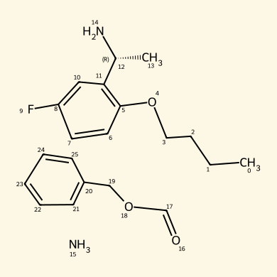 CCCCOc1ccc(F)cc1[C@@H](C)N.N.O=COCc1ccccc1